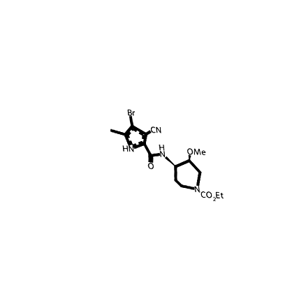 CCOC(=O)N1CC[C@@H](NC(=O)c2[nH]c(C)c(Br)c2C#N)[C@@H](OC)C1